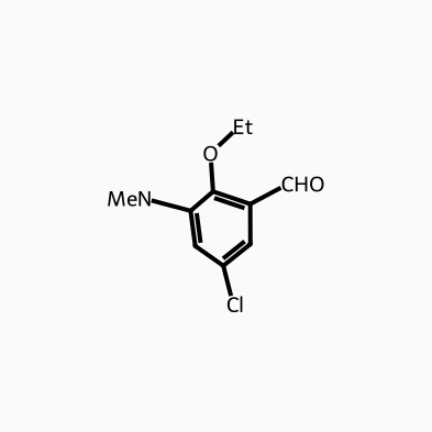 CCOc1c(C=O)cc(Cl)cc1NC